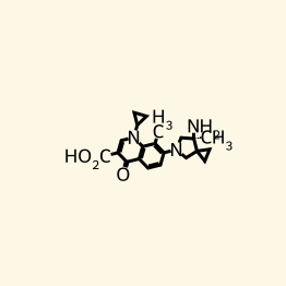 Cc1c(N2CC3(CC3)[C@](C)(N)C2)ccc2c(=O)c(C(=O)O)cn(C3CC3)c12